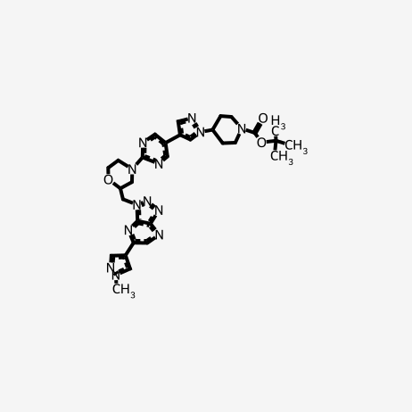 Cn1cc(-c2cnc3nnn(CC4CN(c5ncc(-c6cnn(C7CCN(C(=O)OC(C)(C)C)CC7)c6)cn5)CCO4)c3n2)cn1